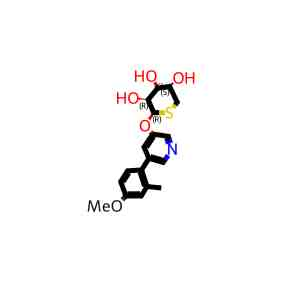 COc1ccc(-c2cncc(O[C@@H]3SC[C@@H](O)[C@H](O)[C@H]3O)c2)c(C)c1